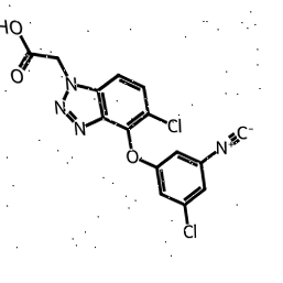 [C-]#[N+]c1cc(Cl)cc(Oc2c(Cl)ccc3c2nnn3CC(=O)O)c1